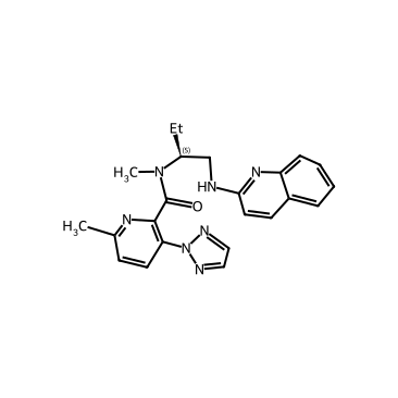 CC[C@@H](CNc1ccc2ccccc2n1)N(C)C(=O)c1nc(C)ccc1-n1nccn1